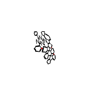 c1ccc(-c2nc(-c3ccccc3)nc(-n3c4c5c(ccc4c4ccc6ccccc6c43)C3(c4ccccc4-5)c4ccccc4C4(c5ccccc5-c5ccccc54)c4ccccc43)n2)cc1